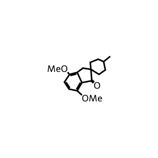 COc1ccc(OC)c2c1CC1(CCC(C)CC1)C2=O